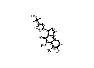 CC(C)n1c(=O)c2c(-c3noc(C(C)(C)O)n3)ncn2c2ccc(F)c(C#N)c21